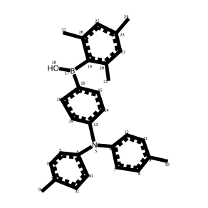 Cc1ccc(N(c2ccc(C)cc2)c2ccc(B(O)c3c(C)cc(C)cc3C)cc2)cc1